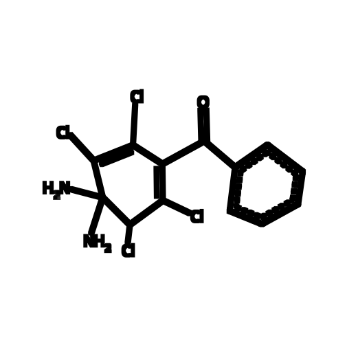 NC1(N)C(Cl)=C(Cl)C(C(=O)c2ccccc2)=C(Cl)C1Cl